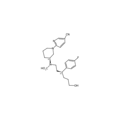 N#Cc1ccc(N2CCC[C@H](N(CC[C@H](CCCO)c3ccc(F)cc3)C(=O)O)C2)nc1